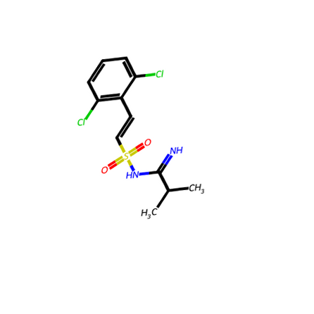 CC(C)C(=N)NS(=O)(=O)/C=C/c1c(Cl)cccc1Cl